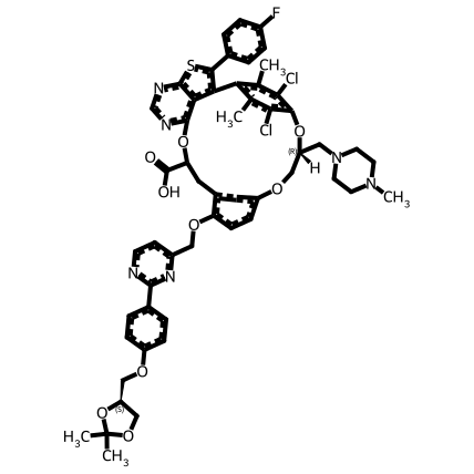 Cc1c(Cl)c2c(Cl)c(C)c1-c1c(-c3ccc(F)cc3)sc3ncnc(c13)OC(C(=O)O)Cc1cc(ccc1OCc1ccnc(-c3ccc(OC[C@H]4COC(C)(C)O4)cc3)n1)OC[C@@H](CN1CCN(C)CC1)O2